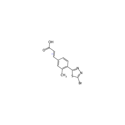 Cc1cc(/C=C/C(=O)O)ccc1-c1nnc(Br)s1